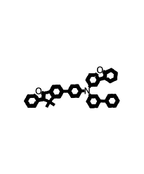 CC1(C)c2cc(-c3ccc(N(c4cccc(-c5ccccc5)c4)c4ccc5oc6ccccc6c5c4)cc3)ccc2-c2oc3ccccc3c21